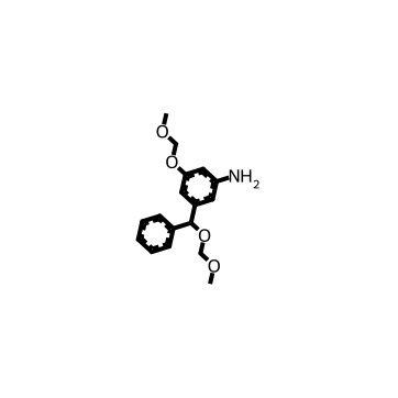 COCOc1cc(N)cc(C(OCOC)c2ccccc2)c1